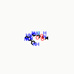 CC1(NC(=O)O[C@H]2CO[C@@H](c3cc(Nc4nc(C5CCNCC5)cn5nccc45)n[nH]3)[C@H]2F)CC1